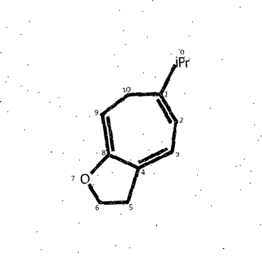 CC(C)C1=CC=C2CCOC2=CC1